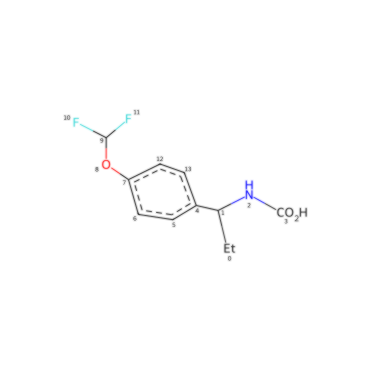 CCC(NC(=O)O)c1ccc(OC(F)F)cc1